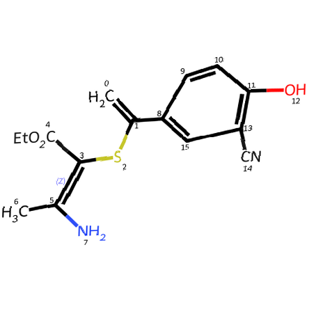 C=C(S/C(C(=O)OCC)=C(/C)N)c1ccc(O)c(C#N)c1